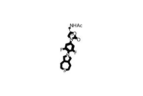 CC(=O)NC[C@H]1CN(c2cc(F)c(N3CC4CCSCCC4C3)c(F)c2)C(=O)O1